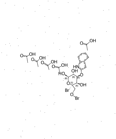 CC(=O)O.CC(=O)O.CC(=O)O.CC(=O)O.CC(=O)O.O[C@@H]1[C@@H](Oc2cc3ccccc3[nH]2)[C@@H](O)[C@@](Br)(COBr)O[C@H]1O